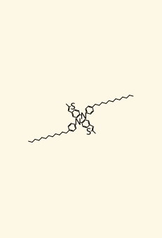 CCCCCCCCCCCCc1ccc(N2c3cc4cc(C)sc4cc3N(c3ccc(CCCCCCCCCCCC)cc3)c3cc4cc(C)sc4cc32)cc1